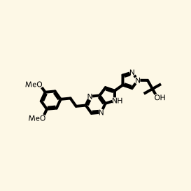 COc1cc(CCc2cnc3[nH]c(-c4cnn(CC(C)(C)O)c4)cc3n2)cc(OC)c1